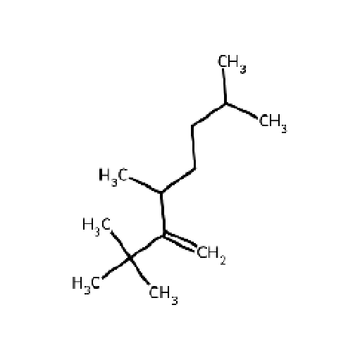 C=C(C(C)CCC(C)C)C(C)(C)C